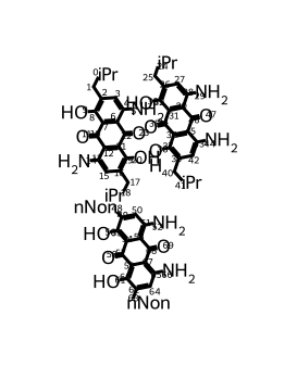 CC(C)Cc1cc(N)c2c(c1O)C(=O)c1c(N)cc(CC(C)C)c(O)c1C2=O.CC(C)Cc1cc(N)c2c(c1O)C(=O)c1c(O)c(CC(C)C)cc(N)c1C2=O.CCCCCCCCCc1cc(N)c2c(c1O)C(=O)c1c(O)c(CCCCCCCCC)cc(N)c1C2=O